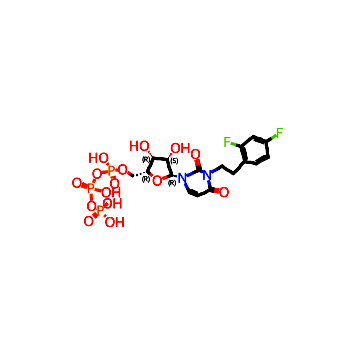 O=c1ccn([C@@H]2O[C@H](COP(=O)(O)OP(=O)(O)OP(=O)(O)O)[C@H](O)[C@@H]2O)c(=O)n1CCc1ccc(F)cc1F